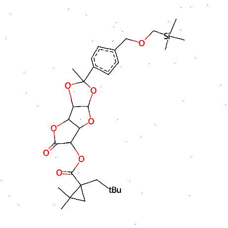 CC(C)(C)CC1(C(=O)OC2C(=O)OC3C4OC(C)(c5ccc(COC[Si](C)(C)C)cc5)OC4OC23)CC1(C)C